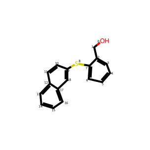 OCc1ccccc1Sc1ccc2ccccc2c1